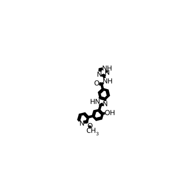 COc1ncccc1-c1ccc(O)c(-c2nc3ccc(C(=O)Nc4nc[nH]n4)cc3[nH]2)c1